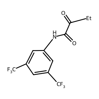 CCC(=O)C(=O)Nc1cc(C(F)(F)F)cc(C(F)(F)F)c1